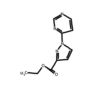 CCOC(=O)c1ccn(-c2ccncn2)n1